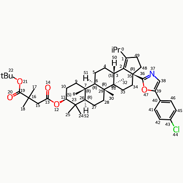 CC(C)C1=C2[C@H]3CC[C@@H]4[C@@]5(C)CC[C@H](OC(=O)CC(C)(C)C(=O)OC(C)(C)C)C(C)(C)[C@@H]5CC[C@@]4(C)[C@]3(C)CC[C@@]2(c2ncc(-c3ccc(Cl)cc3)o2)CC1